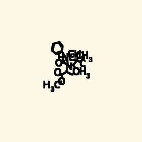 COC(=O)C1COC(C(C)(C)C)N1C(=O)N(C)c1ccccc1